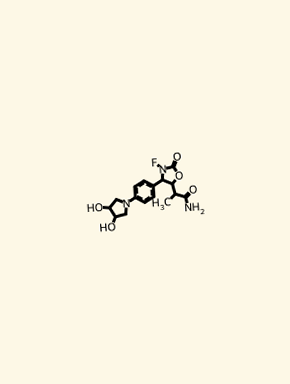 CC(C(N)=O)C1OC(=O)N(F)C1c1ccc(N2CC(O)C(O)C2)cc1